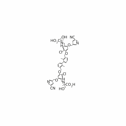 Cc1c(COc2cc(OCc3cncc(C#N)c3)c(CNC(C)(CO)C(=O)O)cc2Cl)cccc1-c1cccc(COc2cc(OCc3cncc(C#N)c3)c(CN[C@@](C)(CO)C(=O)O)cc2Cl)c1C